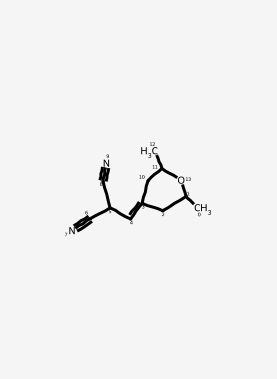 CC1CC(=CC(C#N)C#N)CC(C)O1